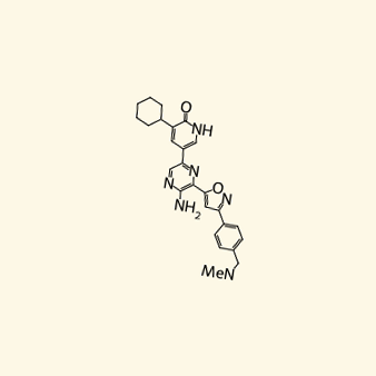 CNCc1ccc(-c2cc(-c3nc(-c4c[nH]c(=O)c(C5CCCCC5)c4)cnc3N)on2)cc1